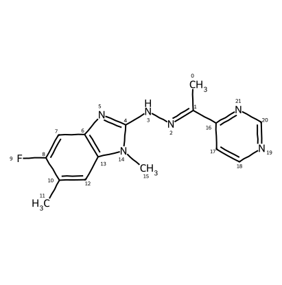 C/C(=N\Nc1nc2cc(F)c(C)cc2n1C)c1ccncn1